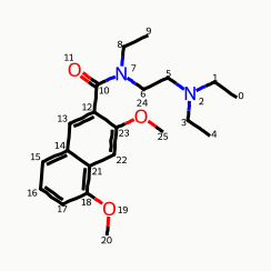 CCN(CC)CCN(CC)C(=O)c1cc2cccc(OC)c2cc1OC